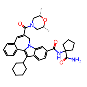 C[C@@H]1CN(C(=O)C2=Cc3ccccc3-c3c(C4CCCCC4)c4ccc(C(=O)NC5(C(N)=O)CCCC5)cc4n3C2)C[C@H](C)O1